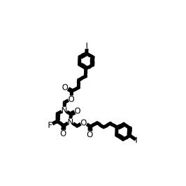 O=C(CCCc1ccc(I)cc1)OCn1cc(F)c(=O)n(COC(=O)CCCc2ccc(I)cc2)c1=O